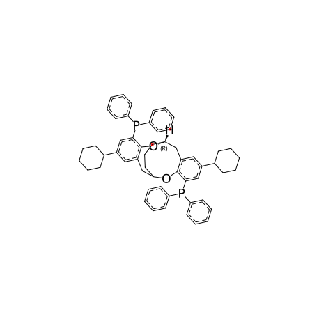 c1ccc(P(c2ccccc2)c2cc(C3CCCCC3)cc3c2OC2CCC[C@H](C3)Oc3c(cc(C4CCCCC4)cc3P(c3ccccc3)c3ccccc3)C2)cc1